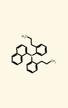 CCCc1ccccc1P(c1ccccc1CCC)c1cccc2ccccc12